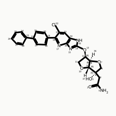 NC(=O)C[C@]1(O)CO[C@H]2[C@H]1OC[C@H]2Oc1nc2nc(-c3ccc(-c4ccccc4)cc3)c(Cl)cc2[nH]1